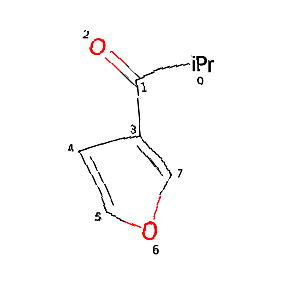 CC(C)C(=O)c1ccoc1